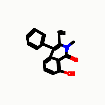 Cn1c(C(C)(C)C)c(-c2ccccc2)c2cccc(O)c2c1=O